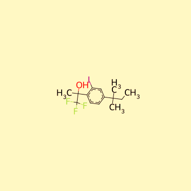 CCC(C)(C)c1ccc(C(C)(O)C(F)(F)F)c(I)c1